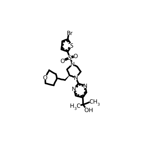 CC(C)(O)c1cnc(N2CCN(S(=O)(=O)c3ccc(Br)s3)C[C@@H]2CC2CCOCC2)nc1